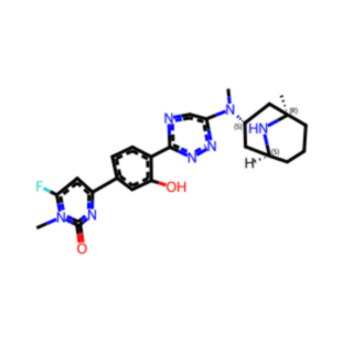 CN(c1cnc(-c2ccc(-c3cc(F)n(C)c(=O)n3)cc2O)nn1)[C@H]1C[C@@H]2CCC[C@](C)(C1)N2